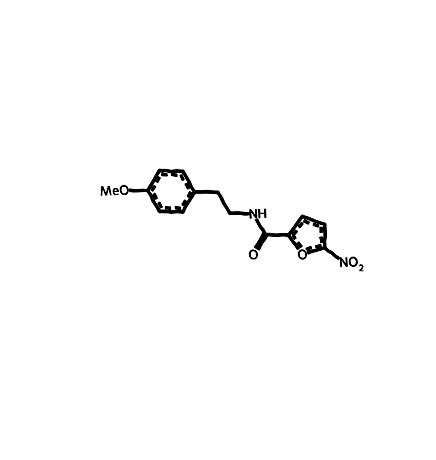 COc1ccc(CCNC(=O)c2ccc([N+](=O)[O-])o2)cc1